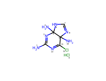 Cl.NC1=NC2(N)NC=NC2(N)C(Cl)=N1